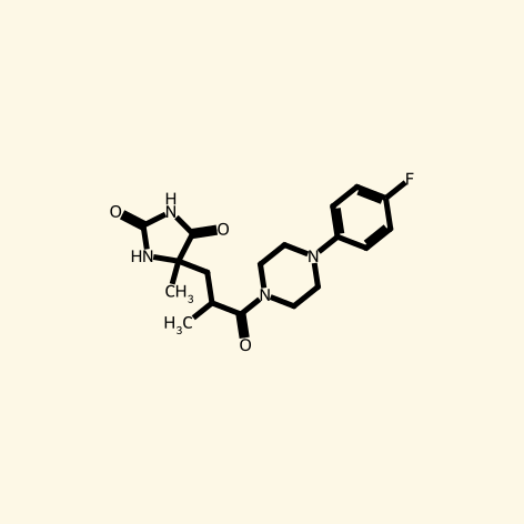 CC(CC1(C)NC(=O)NC1=O)C(=O)N1CCN(c2ccc(F)cc2)CC1